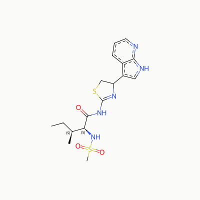 CC[C@H](C)[C@H](NS(C)(=O)=O)C(=O)NC1=NC(c2c[nH]c3ncccc23)CS1